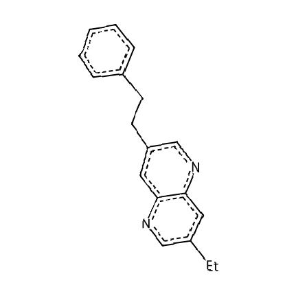 CCc1cnc2cc(CCc3ccccc3)cnc2c1